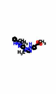 CC(Nc1nc2cc(N(C)c3ccnc(Nc4cccc(CCS(C)(=O)=O)c4)n3)ccc2n1C)c1ccccc1